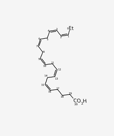 CC/C=C\C=C/C/C=C\C/C=C\C/C=C\C/C=C\CCCC(=O)O